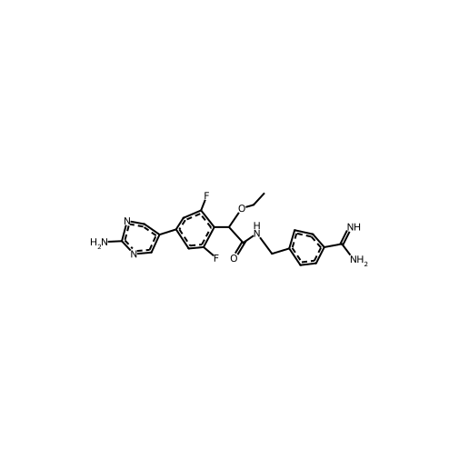 CCOC(C(=O)NCc1ccc(C(=N)N)cc1)c1c(F)cc(-c2cnc(N)nc2)cc1F